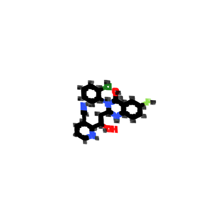 N#Cc1cccnc1/C(O)=C/c1nc2ccc(F)cc2c(=O)n1-c1ccccc1Cl